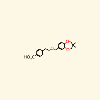 CC1(C)COc2ccc(COCCc3ccc(C(=O)O)cc3)cc2OC1